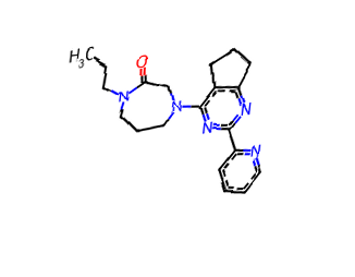 CCCN1CCCN(c2nc(-c3ccccn3)nc3c2CCC3)CC1=O